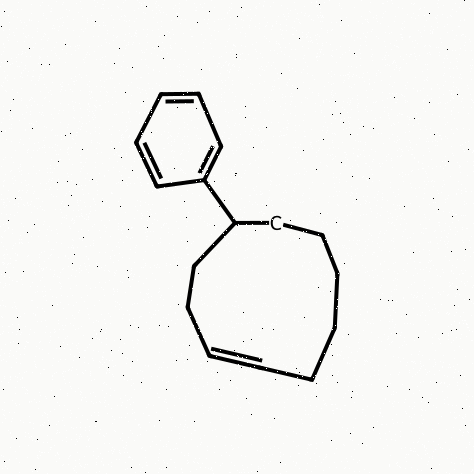 C1=CCCC(c2ccccc2)CCCCC1